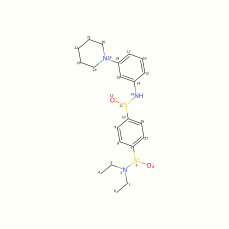 CCN(CC)[S+]([O-])c1ccc([S+]([O-])Nc2cccc(N3CCCCC3)c2)cc1